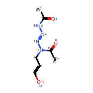 CC(C)C(=O)NN=NN(CC=CO)C(=O)C(C)C